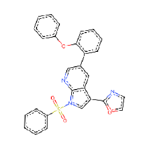 O=S(=O)(c1ccccc1)n1cc(-c2ncco2)c2cc(-c3ccccc3Oc3ccccc3)cnc21